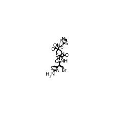 Nc1nc(C(=CBr)C(=O)NC2C(=O)N3CC(CSc4nncs4)(C(=O)O)CS[C@H]23)cs1